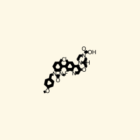 COc1ccc(Cn2c(=O)n(C)c3c(-c4c(Cl)cc5c6c(cnc5c4F)OC[C@H]4CN(C(=O)O)CCN64)c(C)ccc32)cc1